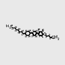 C=CCCOc1ccc(-c2ccc(C3CCC(CCCCCCCC)CC3)cc2)c(F)c1F